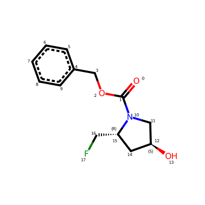 O=C(OCc1ccccc1)N1C[C@@H](O)C[C@@H]1CF